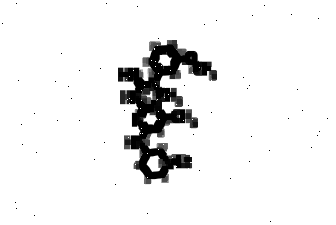 CCN1CCCC(Nc2cc(C)nc(NC(=N)N(C)c3cccc(OC(F)(F)F)c3)n2)C1